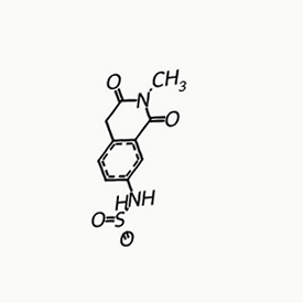 CN1C(=O)Cc2ccc(N[SH](=O)=O)cc2C1=O